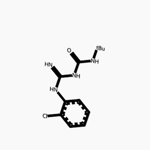 CC(C)(C)NC(=O)NC(=N)Nc1ccccc1Cl